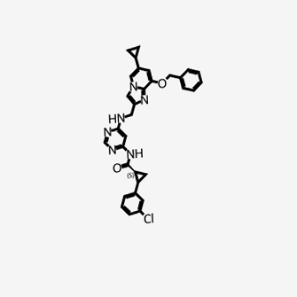 O=C(Nc1cc(NCc2cn3cc(C4CC4)cc(OCc4ccccc4)c3n2)ncn1)[C@H]1CC1c1cccc(Cl)c1